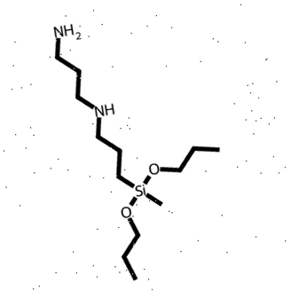 CCCO[Si](C)(CCCNCCCN)OCCC